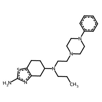 CCCN(CCN1CCN(c2ccccc2)CC1)C1CCc2sc(N)nc2C1